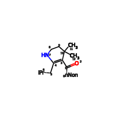 CCCCCCCCCC(=O)C1=C(CC(C)C)NCCC1(C)C